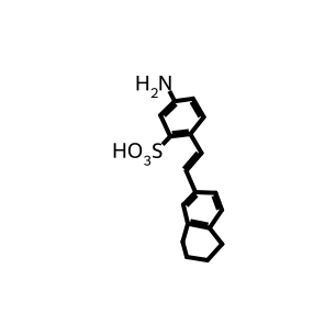 Nc1ccc(C=Cc2ccc3c(c2)CCCC3)c(S(=O)(=O)O)c1